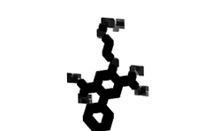 [C-]#[N+]/C(C#N)=c1/cc(OCCOS(=O)(=O)O)/c(=C(\C#N)[N+]#[C-])cc1-c1ccccc1